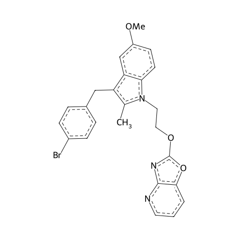 COc1ccc2c(c1)c(Cc1ccc(Br)cc1)c(C)n2CCOc1nc2ncccc2o1